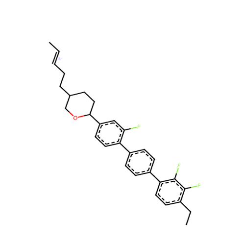 C/C=C/CCC1CCC(c2ccc(-c3ccc(-c4ccc(CC)c(F)c4F)cc3)c(F)c2)OC1